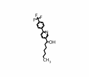 CCCCCC[C@H](O)c1ccc(-c2ccc(C(F)(F)F)cc2)nc1